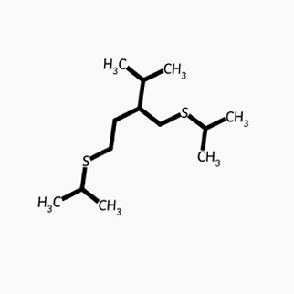 CC(C)SCCC(CSC(C)C)C(C)C